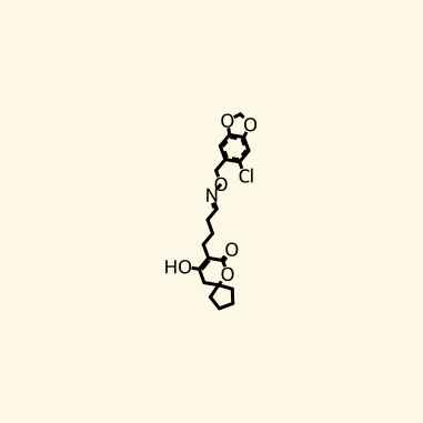 O=C1OC2(CCCC2)CC(O)=C1CCCC=NOCc1cc2c(cc1Cl)OCO2